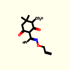 C=CCON=C(CCC)C1C(=O)CC(C)(C)C(C(=O)O)C1=O